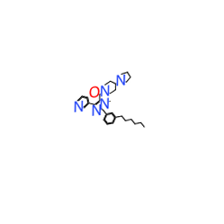 CCCCCCc1cccc(-c2nc(-c3cccnc3)c(C(=O)N3CCC(N4CCCC4)CC3)n2C)c1